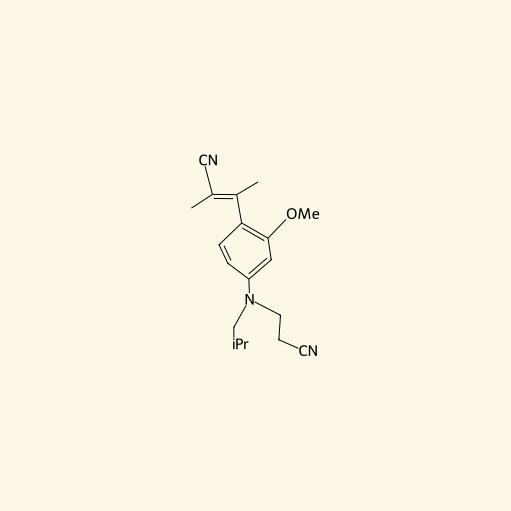 COc1cc(N(CCC#N)CC(C)C)ccc1/C(C)=C(\C)C#N